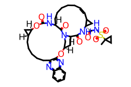 CC1(S(=O)(=O)NC(=O)[C@@]23CC2/C=C\CCCCC[C@@H]2NC(=O)O[C@@H]4C[C@H]4CCCCCc4nc5ccccc5nc4O[C@@H]4C[C@@H](C(=O)N3)N(C4)C2=O)CC1